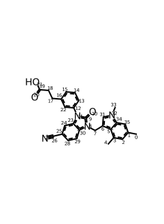 Cc1cc(C)c2c(Cn3c(=O)n(-c4cccc(CCC(=O)O)c4)c4cc(C#N)ccc43)cn(C)c2c1